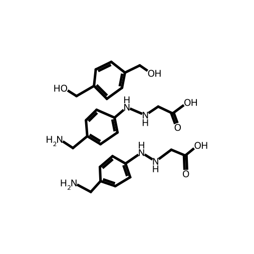 NCc1ccc(NNCC(=O)O)cc1.NCc1ccc(NNCC(=O)O)cc1.OCc1ccc(CO)cc1